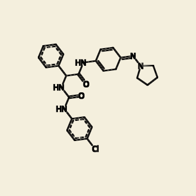 O=C(Nc1ccc(Cl)cc1)NC(C(=O)NC1=CCC(=NN2CCCC2)C=C1)c1ccccc1